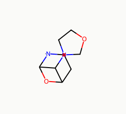 C1CC2OC([N]1)C2N1CCOC1